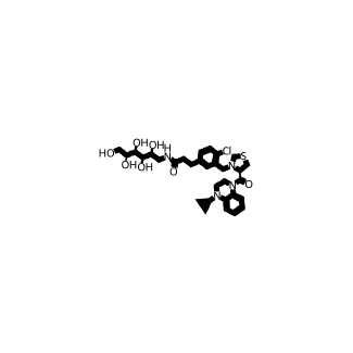 O=C(CCc1ccc(Cl)c(CN2CSC[C@H]2C(=O)N2CCN(C3CC3)c3ccccc32)c1)NC[C@H](O)[C@@H](O)[C@H](O)[C@H](O)CO